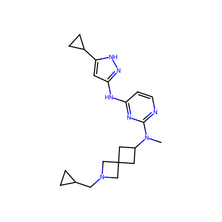 CN(c1nccc(Nc2cc(C3CC3)[nH]n2)n1)C1CC2(C1)CN(CC1CC1)C2